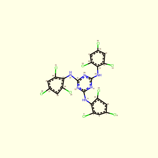 Clc1cc(Cl)c(Nc2nc(Nc3c(Cl)cc(Cl)cc3Cl)nc(Nc3c(Cl)cc(Cl)cc3Cl)n2)c(Cl)c1